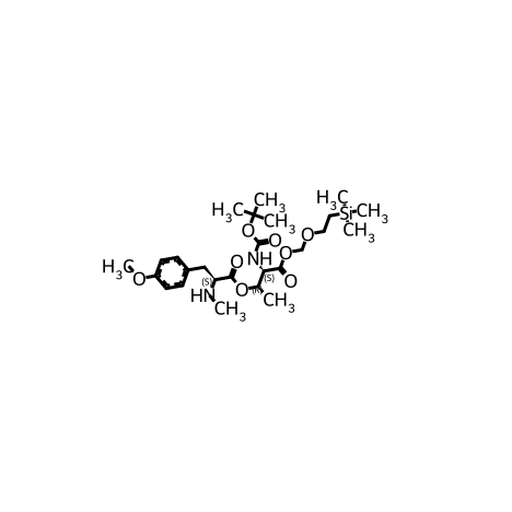 CN[C@@H](Cc1ccc(OC)cc1)C(=O)O[C@H](C)[C@H](NC(=O)OC(C)(C)C)C(=O)OCOCC[Si](C)(C)C